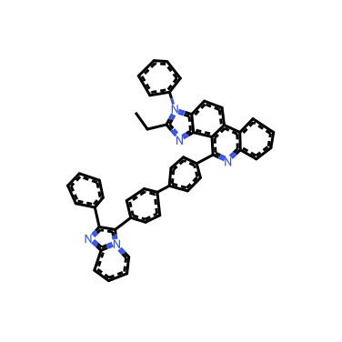 CCc1nc2c3c(-c4ccc(-c5ccc(-c6c(-c7ccccc7)nc7ccccn67)cc5)cc4)nc4ccccc4c3ccc2n1-c1ccccc1